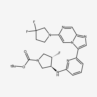 CC(C)(C)OC(=O)N1C[C@H](Nc2cccc(-c3cnc4cnc(N5CCC(F)(F)C5)cn34)n2)[C@@H](F)C1